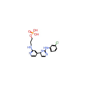 O=P(O)(O)OCCCNc1cc(-c2ccnc(Nc3cccc(Cl)c3)n2)ccn1